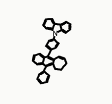 C1=Cc2c(c(-c3ccccc3)c3ccccc3c2-c2ccc(-n3c4ccccc4c4ccccc43)cc2)CCC1